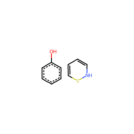 C1=CNSC=C1.Oc1ccccc1